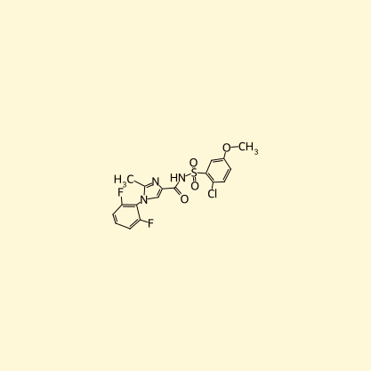 COc1ccc(Cl)c(S(=O)(=O)NC(=O)c2cn(-c3c(F)cccc3F)c(C)n2)c1